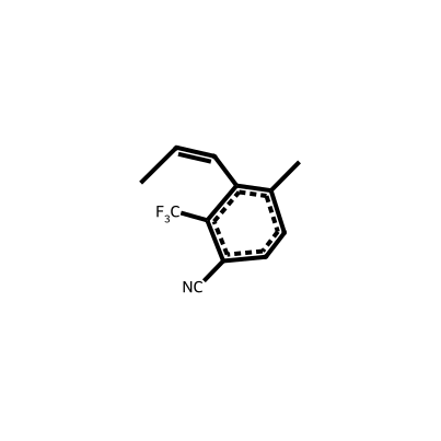 C/C=C\c1c(C)ccc(C#N)c1C(F)(F)F